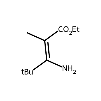 CCOC(=O)C(C)=C(N)C(C)(C)C